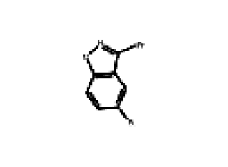 CCc1ccc2onc(C(C)C)c2c1